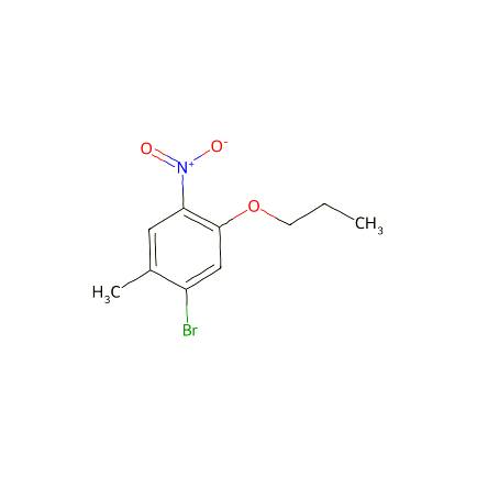 CCCOc1cc(Br)c(C)cc1[N+](=O)[O-]